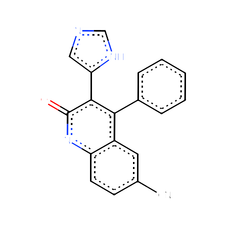 N#Cc1ccc2[nH]c(=O)c(-c3cnc[nH]3)c(-c3ccccc3)c2c1